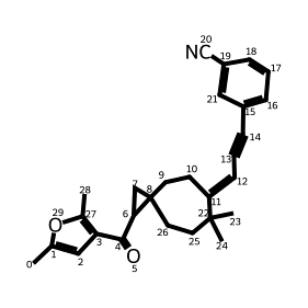 Cc1cc(C(=O)C2CC23CC/C(=C\C#Cc2cccc(C#N)c2)C(C)(C)CC3)c(C)o1